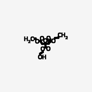 C=CCOC(=O)CC(O)(CC(=O)OC=C)C(=O)OCCO